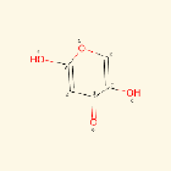 O=c1cc(O)occ1O